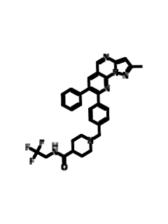 Cc1cc2ncc3cc(-c4ccccc4)c(-c4ccc(CN5CCC(C(=O)NCC(F)(F)F)CC5)cc4)nc3n2n1